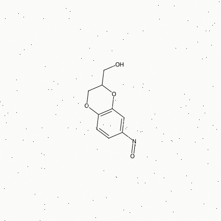 O=Nc1ccc2c(c1)OC(CO)CO2